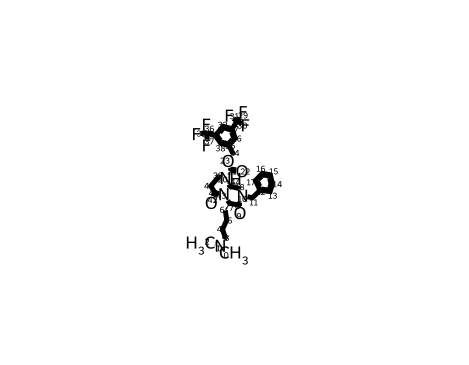 CN(C)CCCC[C@H]1C(=O)N(Cc2ccccc2)C[C@@H]2N(C(=O)OCc3cc(C(F)(F)F)cc(C(F)(F)F)c3)CCC(=O)N21